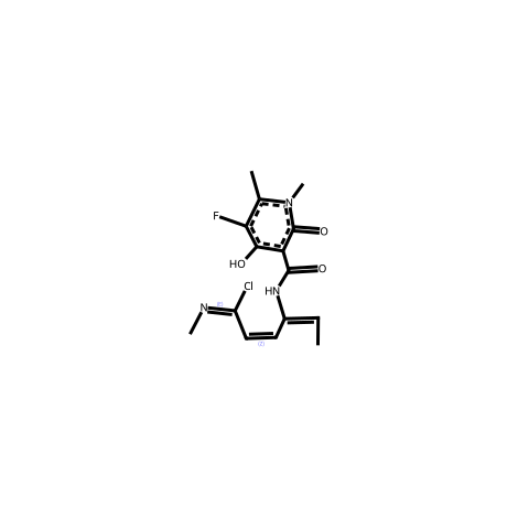 CC=C(/C=C\C(Cl)=N/C)NC(=O)c1c(O)c(F)c(C)n(C)c1=O